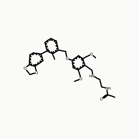 COc1cc(OCc2cccc(-c3ccc4c(c3)OCO4)c2C)cc(OC)c1CNCCNC(C)=O